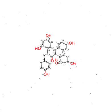 O=C(C(Cc1ccc(O)cc1)c1ccc(O)cc1O)C(Cc1ccc(O)cc1)c1ccc(O)cc1O